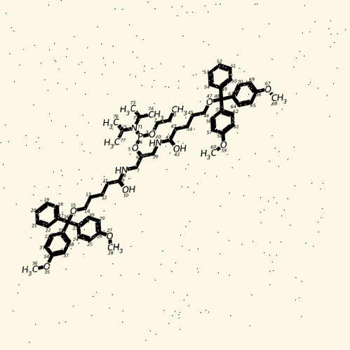 CCCOP(OC(CNC(O)CCCCOC(c1ccccc1)(c1ccc(OC)cc1)c1ccc(OC)cc1)CNC(O)CCCCOC(c1ccccc1)(c1ccc(OC)cc1)c1ccc(OC)cc1)N(C(C)C)C(C)C